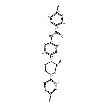 C[C@H]1CN(c2ccc(F)cn2)CCN1c1cnc(NC(=O)c2ccc(Cl)nc2)cn1